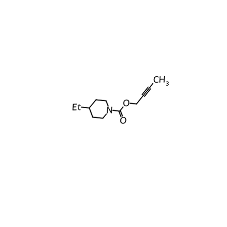 CC#CCOC(=O)N1CCC(CC)CC1